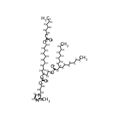 CCCCCCCCC(CCCCCCCC)CC(=O)OCCC(CCCCCCCCCCOC(=O)CCCCCCC)OC(=O)OCCCn1ccnc1C